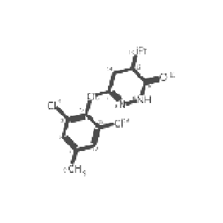 Cc1cc(Cl)c(OC2=NNC(=O)C(C(C)C)C2)c(Cl)c1